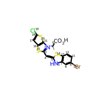 O=C(O)C[n+]1c(/C=C2/Nc3cc(Br)ccc3S2)sc2cc(Cl)sc21